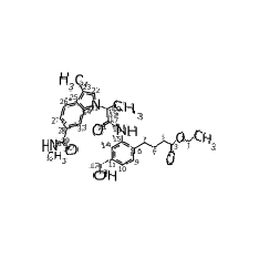 CCOC(=O)CCCc1ccc(CO)cc1NC(=O)C(C)n1cc(C)c2ccc(C(=O)NC)cc21